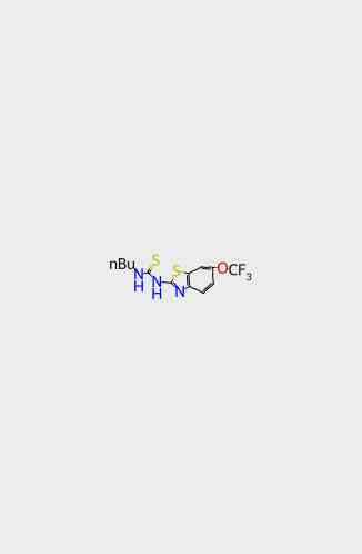 CCCCNC(=S)Nc1nc2ccc(OC(F)(F)F)cc2s1